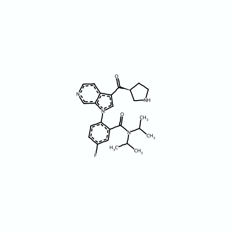 CC(C)N(C(=O)c1cc(F)ccc1-n1cc(C(=O)[C@H]2CCNC2)c2ccncc21)C(C)C